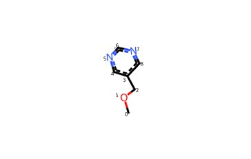 COCc1cn[c]nc1